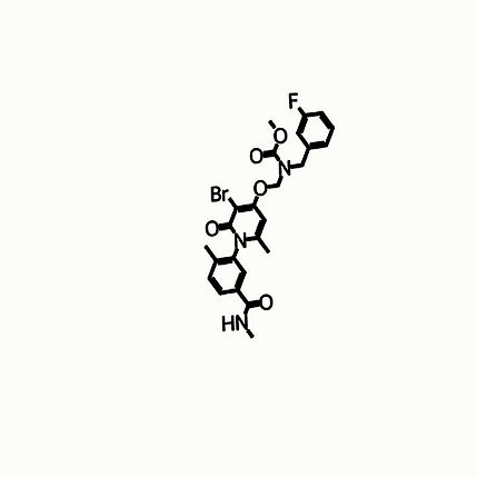 CNC(=O)c1ccc(C)c(-n2c(C)cc(OCN(Cc3cccc(F)c3)C(=O)OC)c(Br)c2=O)c1